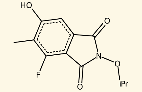 Cc1c(O)cc2c(c1F)C(=O)N(OC(C)C)C2=O